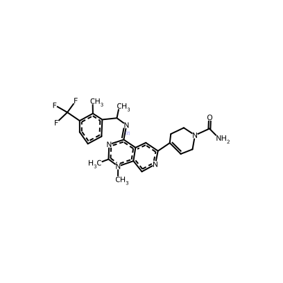 Cc1c(C(C)/N=c2\nc(C)n(C)c3cnc(C4=CCN(C(N)=O)CC4)cc23)cccc1C(F)(F)F